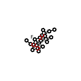 Fc1cc(-c2ccccc2)c(N2c3cc4c(cc3B3c5ccccc5N(c5ccccc5)c5cc(N(c6ccc(-c7ccccc7)cc6)c6ccccc6-c6ccccc6)cc2c53)B2c3ccccc3N(c3ccccc3)c3cc(N(c5ccc(-c6ccccc6)cc5)c5ccccc5-c5ccccc5)cc(c32)S4)c(-c2ccccc2)c1